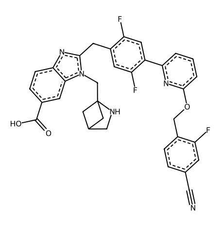 N#Cc1ccc(COc2cccc(-c3cc(F)c(Cc4nc5ccc(C(=O)O)cc5n4CC45CC(CN4)C5)cc3F)n2)c(F)c1